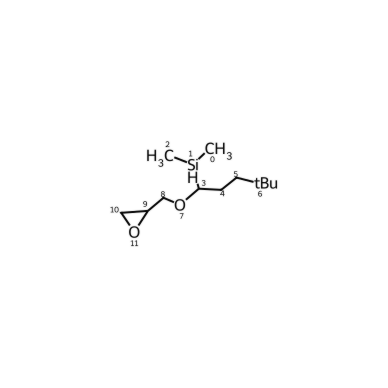 C[SiH](C)C(CCC(C)(C)C)OCC1CO1